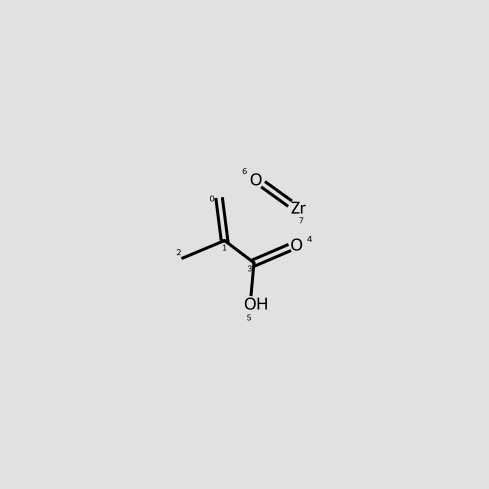 C=C(C)C(=O)O.[O]=[Zr]